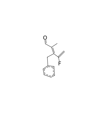 C=C(F)C(Cc1ccccc1)=C(C)C=O